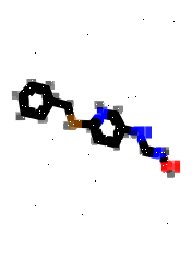 O/N=C/Nc1ccc(SCc2ccccc2)nc1